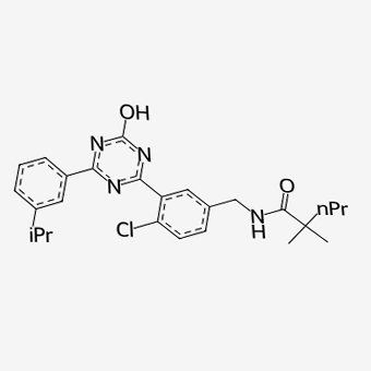 CCCC(C)(C)C(=O)NCc1ccc(Cl)c(-c2nc(O)nc(-c3cccc(C(C)C)c3)n2)c1